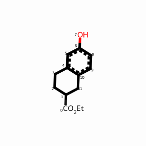 CCOC(=O)C1CCc2cc(O)ccc2C1